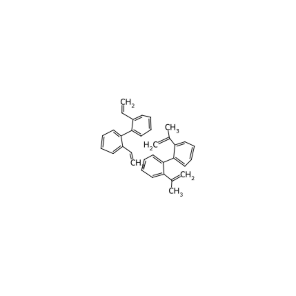 C=C(C)c1ccccc1-c1ccccc1C(=C)C.C=Cc1ccccc1-c1ccccc1C=C